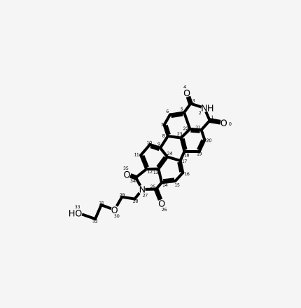 O=C1NC(=O)c2ccc3c4ccc5c6c(ccc(c7ccc1c2c73)c64)C(=O)N(CCOCCO)C5=O